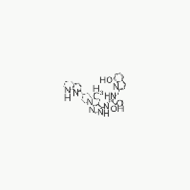 CCc1c(NC[C@H](NCc2ccc3cccc(O)c3n2)C(=O)O)ncnc1N1CCC(c2ccc3c(n2)NCCC3)CC1